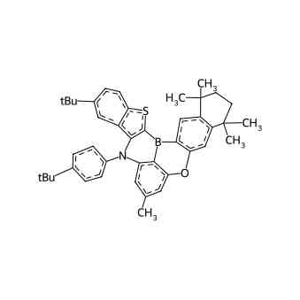 Cc1cc2c3c(c1)N(c1ccc(C(C)(C)C)cc1)c1c(sc4ccc(C(C)(C)C)cc14)B3c1cc3c(cc1O2)C(C)(C)CCC3(C)C